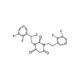 O=C1CC(=O)N(CC(F)c2cccc(F)c2F)C(=O)N1CCc1cccc(F)c1F